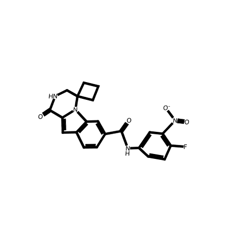 O=C(Nc1ccc(F)c([N+](=O)[O-])c1)c1ccc2cc3n(c2c1)C1(CCC1)CNC3=O